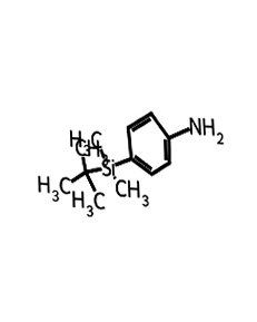 CC(C)(C)[Si](C)(C)c1ccc(N)cc1